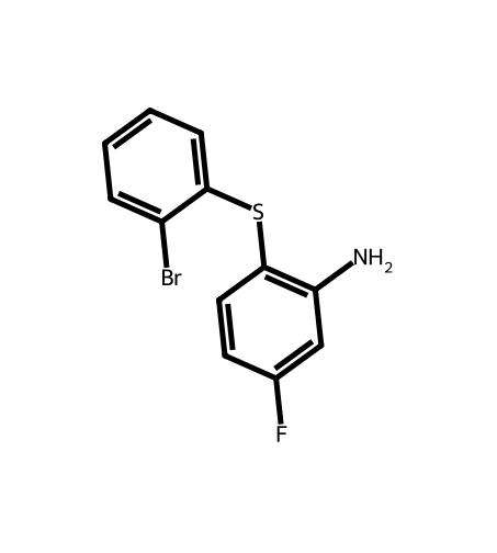 Nc1cc(F)ccc1Sc1ccccc1Br